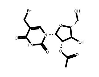 CC(=O)O[C@H]1C(O)[C@@H](CO)O[C@H]1n1cc(CBr)c(=O)[nH]c1=O